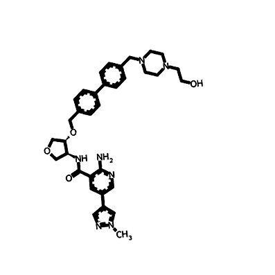 Cn1cc(-c2cnc(N)c(C(=O)N[C@H]3COC[C@@H]3OCc3ccc(-c4ccc(CN5CCN(CCO)CC5)cc4)cc3)c2)cn1